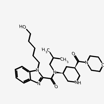 CC(C)CN(C(=O)c1nc2ccccc2n1CCCCCO)[C@@H]1CNC[C@H](C(=O)N2CCOCC2)C1